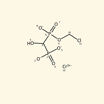 O=P([O-])([O-])C(O)P(=O)([O-])OCCl.[Cr+3]